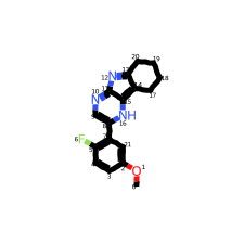 COc1ccc(F)c(-c2cnc3nc4c(c-3[nH]2)CCCC4)c1